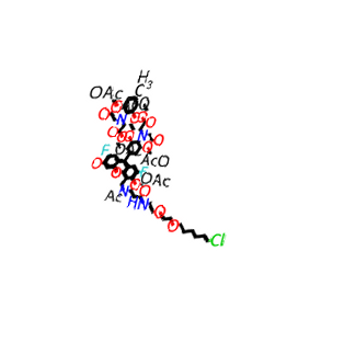 CC(=O)OCOC(=O)CN(CC(=O)OCOC(C)=O)c1ccc(C)cc1OCCOc1cc(-c2c3cc(F)c(=O)cc-3oc3c(CN(CCC(=O)NCCOCCOCCCCCCCl)C(C)=O)c(OCOC(C)=O)c(F)cc23)ccc1N(CC(=O)OCOC(C)=O)CC(=O)OCOC(C)=O